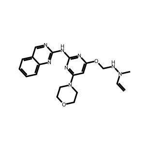 C=CN(C)NCOc1cc(N2CCOCC2)nc(Nc2ncc3ccccc3n2)n1